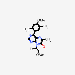 CCC(COC)n1c(=O)c(C)nc2c(-c3cc(C)c(OC)cc3C)ncnc21